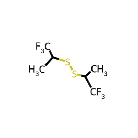 CC(SSC(C)C(F)(F)F)C(F)(F)F